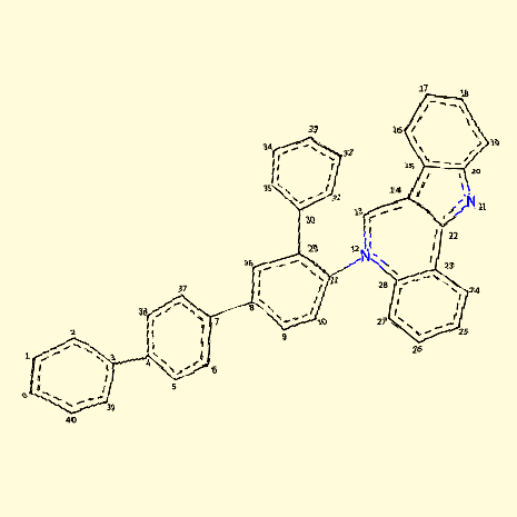 c1ccc(-c2ccc(-c3ccc(-n4cc5c6ccccc6nc-5c5ccccc54)c(-c4ccccc4)c3)cc2)cc1